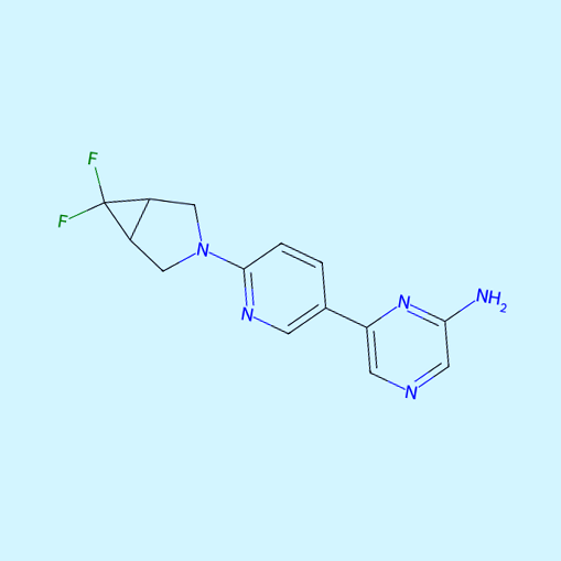 Nc1cncc(-c2ccc(N3CC4C(C3)C4(F)F)nc2)n1